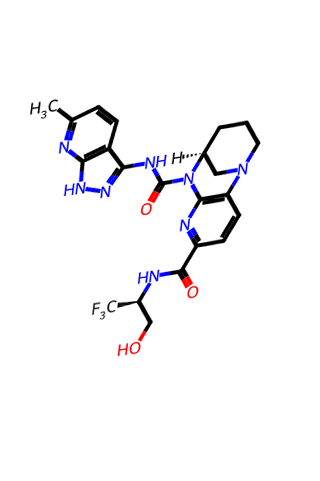 Cc1ccc2c(NC(=O)N3c4nc(C(=O)N[C@@H](CO)C(F)(F)F)ccc4N4CCC[C@H]3C4)n[nH]c2n1